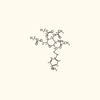 CC(=O)NC1C(OCCc2ccc(N)cc2)OC(COC(C)=O)C(OC(C)=O)C1OC(C)=O